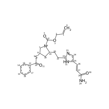 C=CCOC(=O)N1CC(SC(=O)c2ccccc2)CC1CCc1ncc(C=CC(N)=O)[nH]1